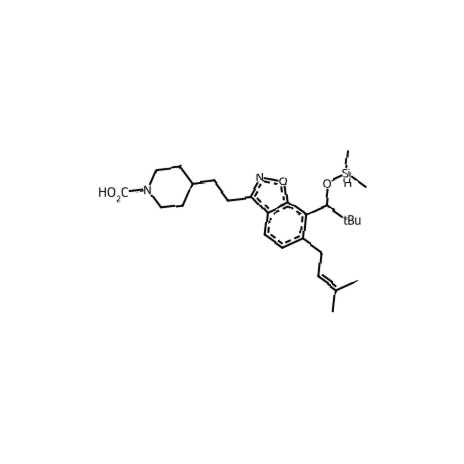 CC(C)=CCc1ccc2c(CCC3CCN(C(=O)O)CC3)noc2c1C(O[SiH](C)C)C(C)(C)C